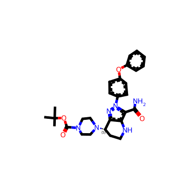 CC(C)(C)OC(=O)N1CCN([C@H]2CCNc3c2nn(-c2ccc(Oc4ccccc4)cc2)c3C(N)=O)CC1